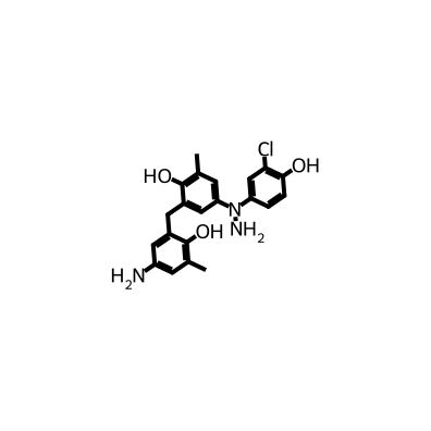 Cc1cc(N)cc(Cc2cc(N(N)c3ccc(O)c(Cl)c3)cc(C)c2O)c1O